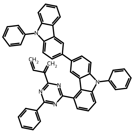 C=CC(=C)c1nc(-c2ccccc2)nc(-c2cccc3c2c2cc(-c4ccc5c(c4)c4ccccc4n5-c4ccccc4)ccc2n3-c2ccccc2)n1